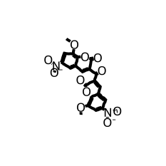 COc1cc([N+](=O)[O-])cc2cc(C(=O)c3cc4cc([N+](=O)[O-])cc(OC)c4oc3=O)c(=O)oc12